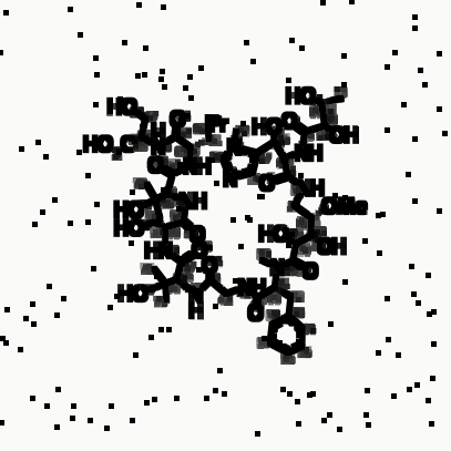 CO[C@@H](CNC(=O)[C@H](NC(=O)[C@H](O)[C@H](C)O)[C@H](O)c1cncn1C)[C@H](O)[C@H](O)C(=O)N(C)[C@@H](Cc1ccccc1)C(=O)NCC(=O)N[C@H](C(=O)N[C@@H](CO)C(=O)N[C@H](C(=O)N[C@@H](CC(C)C)C(=O)N[C@@H](CO)C(=O)O)C(C)(C)O)C(C)(C)O